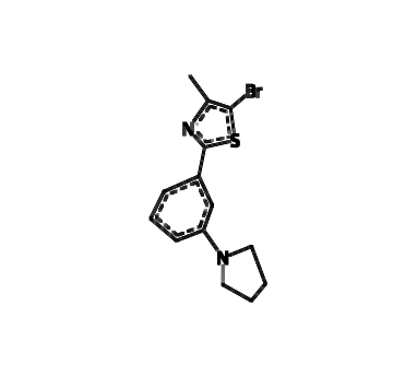 Cc1nc(-c2cccc(N3CCCC3)c2)sc1Br